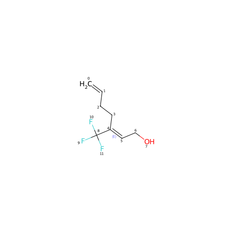 C=CCC/C(=C\CO)C(F)(F)F